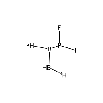 [2H]B(B[3H])P(F)I